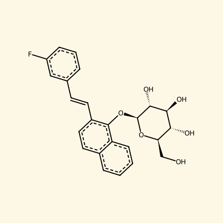 OC[C@H]1O[C@@H](Oc2c(/C=C/c3cccc(F)c3)ccc3ccccc23)[C@H](O)[C@@H](O)[C@@H]1O